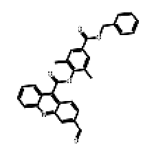 Cc1cc(C(=O)OCc2ccccc2)cc(C)c1OC(=O)c1c2ccccc2nc2cc(C=O)ccc12